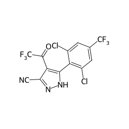 N#Cc1n[nH]c(-c2c(Cl)cc(C(F)(F)F)cc2Cl)c1C(=O)C(F)(F)F